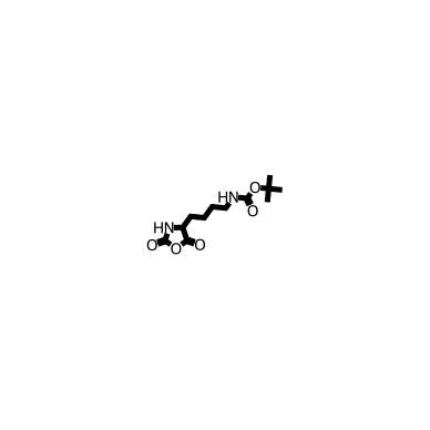 CC(C)(C)OC(=O)NCCCCC1NC(=O)OC1=O